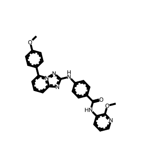 COc1ccc(-c2cccc3nc(Nc4ccc(C(=O)Nc5cccnc5OC)cc4)nn23)cc1